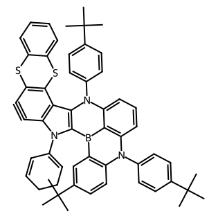 CC(C)(C)c1ccc(N2c3ccc(C(C)(C)C)cc3B3c4c2cccc4N(c2ccc(C(C)(C)C)cc2)c2c3n(C3=CCCC=C3)c3c#cc4c(c23)Sc2ccccc2S4)cc1